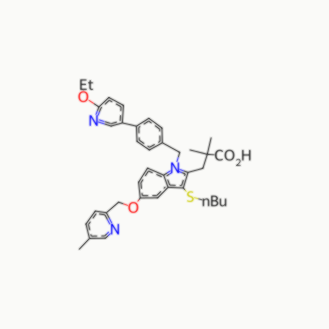 CCCCSc1c(CC(C)(C)C(=O)O)n(Cc2ccc(-c3ccc(OCC)nc3)cc2)c2ccc(OCc3ccc(C)cn3)cc12